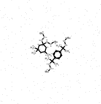 CC(C)(C)OOC(C)(C)c1ccc(C(C)(C)OOC(C)(C)C)cc1.CC1CC(C)(C)CC(OOC(C)(C)C)(OOC(C)(C)C)C1